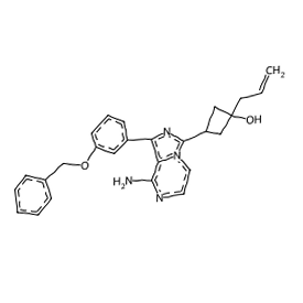 C=CCC1(O)CC(c2nc(-c3cccc(OCc4ccccc4)c3)c3c(N)nccn23)C1